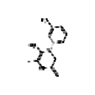 CC1=C(C(=O)O)[C@H](c2cccc([N+](=O)[O-])c2)CC(=O)N1